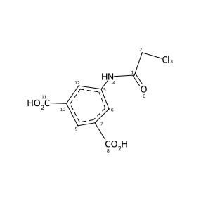 O=C(CCl)Nc1cc(C(=O)O)cc(C(=O)O)c1